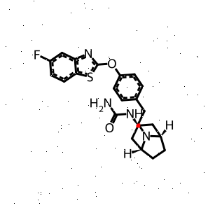 NC(=O)N[C@@H]1C[C@H]2CC[C@@H](C1)N2CCc1ccc(Oc2nc3cc(F)ccc3s2)cc1